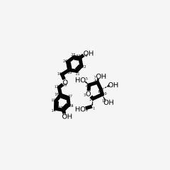 OC[C@@H]1O[C@H](O)[C@@H](O)[C@H](O)[C@@H]1O.Oc1ccc(COCc2ccc(O)cc2)cc1